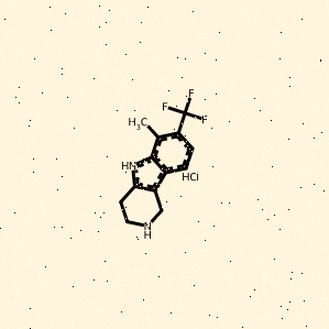 Cc1c(C(F)(F)F)ccc2c3c([nH]c12)CCNC3.Cl